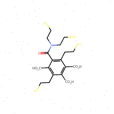 O=C(O)c1c(CCS)c(C(=O)O)c(C(=O)N(CCS)CCS)c(CCS)c1C(=O)O